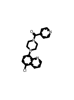 O=C(c1ccncc1)N1CCN(c2[c]cc(Cl)c3cccnc23)CC1